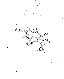 COC(=O)C1(C)C(=O)Nc2nc(C)nc(N)c21